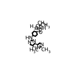 Cc1ncc(-c2nc(Nc3ccc(S(=O)(=O)NC(C)(C)C)cc3)ncc2Cl)n1C